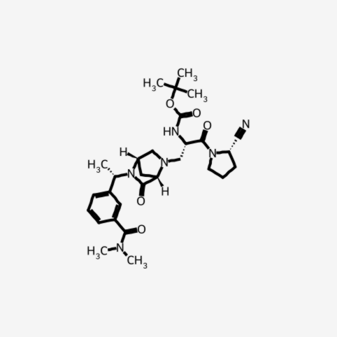 C[C@@H](c1cccc(C(=O)N(C)C)c1)N1C(=O)[C@@H]2C[C@H]1CN2C[C@H](NC(=O)OC(C)(C)C)C(=O)N1CCC[C@H]1C#N